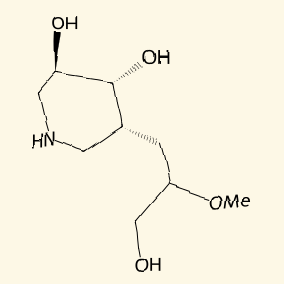 COC(CO)C[C@@H]1CNC[C@@H](O)[C@@H]1O